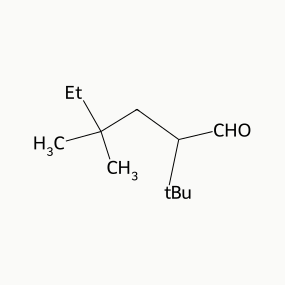 CCC(C)(C)CC(C=O)C(C)(C)C